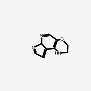 C1=NC2N=CC3=C(NCCO3)C2=C1